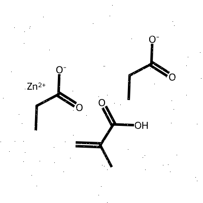 C=C(C)C(=O)O.CCC(=O)[O-].CCC(=O)[O-].[Zn+2]